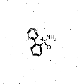 NS(=O)(=O)c1ccccc1-c1cnccn1